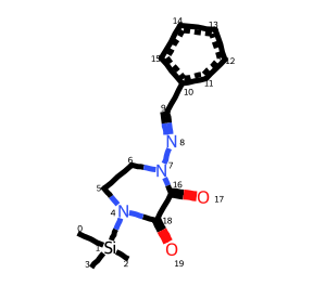 C[Si](C)(C)N1CCN(N=Cc2ccccc2)C(=O)C1=O